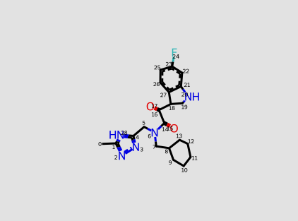 Cc1nnc(CN(CC2CCCCC2)C(=O)C(=O)C2CNc3cc(F)ccc32)[nH]1